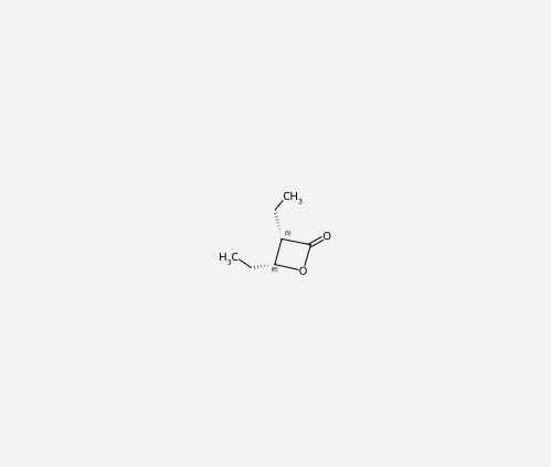 CC[C@@H]1C(=O)O[C@@H]1CC